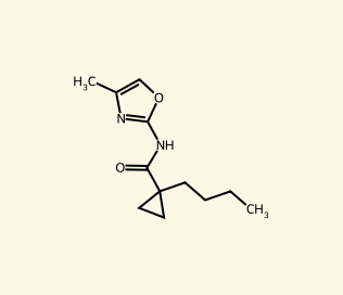 CCCCC1(C(=O)Nc2nc(C)co2)CC1